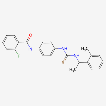 Cc1ccccc1C(C)NC(=S)Nc1ccc(NC(=O)c2ccccc2F)cc1